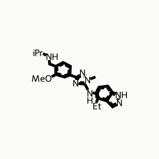 CCc1c(Nc2nc(-c3ccc(CNC(C)C)c(OC)c3)nn2C)ccc2[nH]ncc12